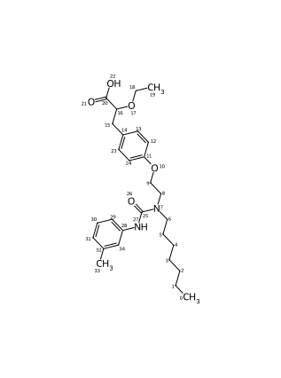 CCCCCCCN(CCOc1ccc(CC(OCC)C(=O)O)cc1)C(=O)Nc1cccc(C)c1